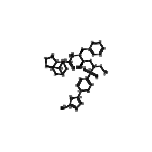 CC(C)CN(C[C@@H](O)[C@H](Cc1ccccc1)NC(=O)OC1C2COC3OCC1C3C2)S(=O)(=O)c1ccc(-c2cnc(C(C)C)o2)cc1